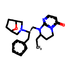 O=c1ccnc2n1CCC(CC(F)(F)F)N2C[C@H](Cc1ccccc1)N1CC2CCC(C1)O2